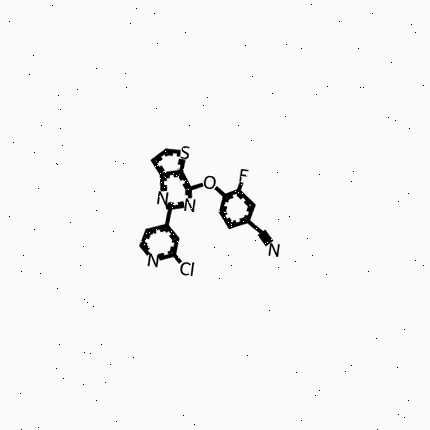 N#Cc1ccc(Oc2nc(-c3ccnc(Cl)c3)nc3ccsc23)c(F)c1